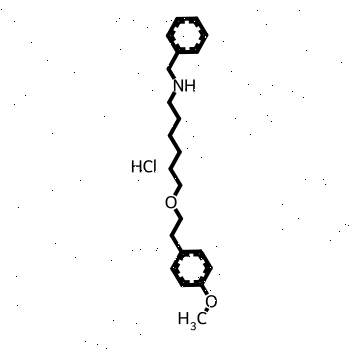 COc1ccc(CCOCCCCCCNCc2ccccc2)cc1.Cl